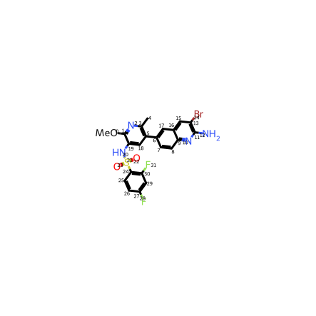 COc1nc(C)c(-c2ccc3nc(N)c(Br)cc3c2)cc1NS(=O)(=O)c1ccc(F)cc1F